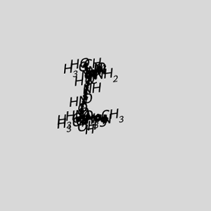 CCn1c(-c2nonc2N)nc2c(C#CC(C)(C)O)ncc(OCCCNCCCC(=O)NCCOCC(=O)N[C@H](C(=O)N3C[C@H](O)C[C@H]3C(=O)NCc3ccc(-c4scnc4C)cc3)C(C)(C)C)c21